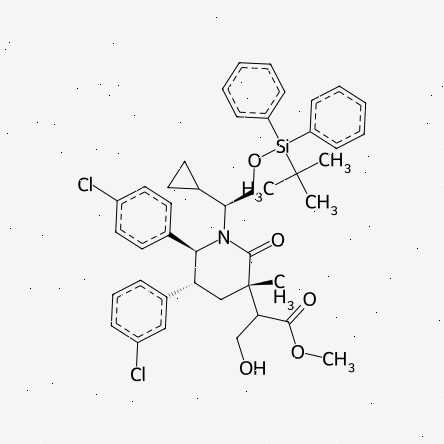 COC(=O)C(CO)[C@]1(C)C[C@H](c2cccc(Cl)c2)[C@@H](c2ccc(Cl)cc2)N([C@H](CO[Si](c2ccccc2)(c2ccccc2)C(C)(C)C)C2CC2)C1=O